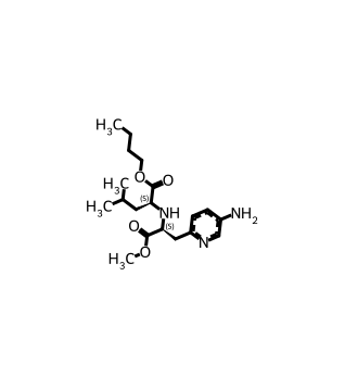 CCCCOC(=O)[C@H](CC(C)C)N[C@@H](Cc1ccc(N)cn1)C(=O)OC